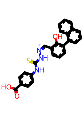 O=C(O)c1ccc(NC(=S)N/N=C\c2cccc(-c3cccc4ccccc34)c2O)cc1